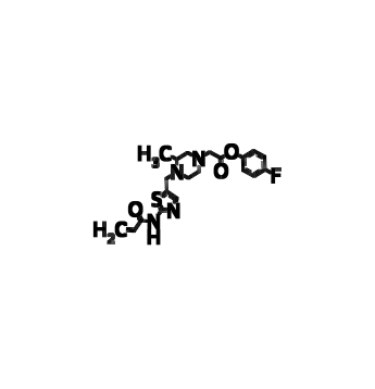 C=CC(=O)Nc1ncc(CN2CCN(CC(=O)Oc3ccc(F)cc3)CC2C)s1